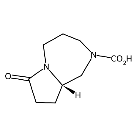 O=C(O)N1CCCN2C(=O)CC[C@H]2C1